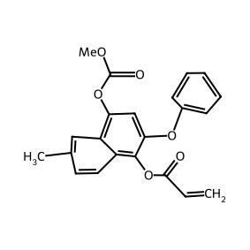 C=CC(=O)Oc1c(Oc2ccccc2)cc(OC(=O)OC)c2cc(C)ccc12